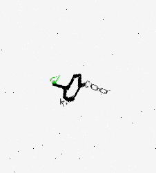 O=C([O-])c1ccc(CCl)cc1.[K+]